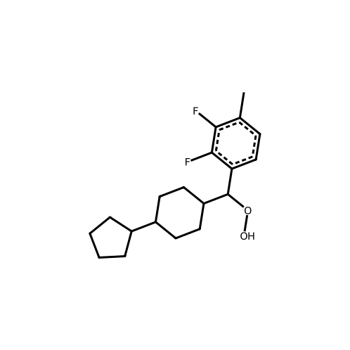 Cc1ccc(C(OO)C2CCC(C3CCCC3)CC2)c(F)c1F